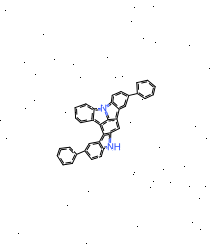 c1ccc(-c2ccc3[nH]c4cc5c6cc(-c7ccccc7)ccc6n6c7ccccc7c(c4c3c2)c56)cc1